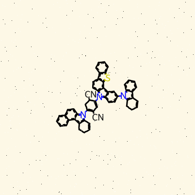 N#CC1=C(n2c3c(c4c5ccccc5ccc42)CCC=C3)CC(C#N)C(n2c3ccc(-n4c5c(c6ccccc64)C=CCC5)cc3c3c4sc5ccccc5c4ccc32)=C1